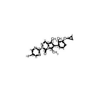 Cc1c(OC2CC2)cccc1-c1c(C)c2cnn(-c3ncc(F)cn3)c(=O)n2c1C